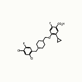 O=C(O)c1cc(C2CC2)c(OCC2CCN(Cc3cc(F)c(Cl)cc3Cl)CC2)cc1F